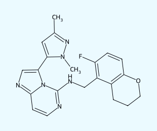 Cc1cc(-c2cnc3ccnc(NCc4c(F)ccc5c4CCCO5)n23)n(C)n1